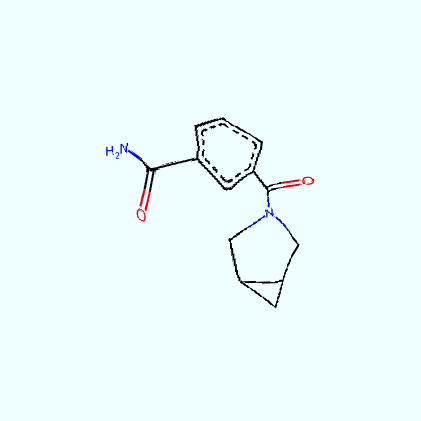 NC(=O)c1cccc(C(=O)N2CC3CC3C2)c1